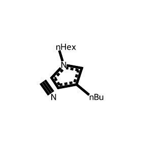 C#N.CCCCCCn1ccc(CCCC)c1